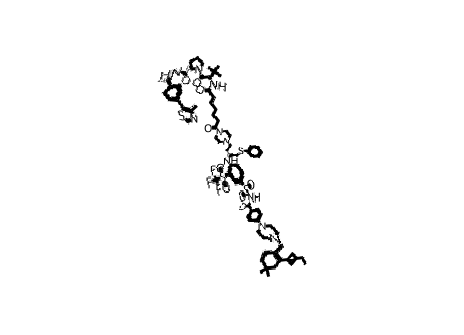 CCC12CC(C3=C(CN4CCN(c5ccc(C(=O)NS(=O)(=O)c6ccc(N[C@H](CCN7CCN(C(=O)CCCCCC(=O)NC(C(=O)N8CCC[C@H]8C(=O)N[C@@H](C)c8ccc(-c9scnc9C)cc8)C(C)(C)C)CC7)CSc7ccccc7)c(S(=O)(=O)C(F)(F)F)c6)cc5)CC4)CCC(C)(C)C3)(C1)C2